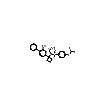 Cc1cc(C2(N(CC(=O)O)S(=O)(=O)c3ccc(OC(F)F)cc3)CCC2)ccc1-c1ccccc1